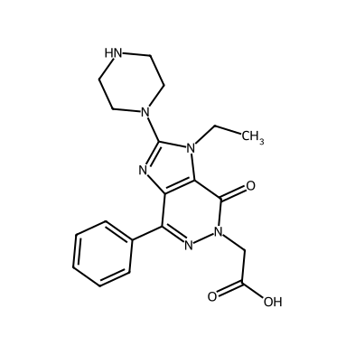 CCn1c(N2CCNCC2)nc2c(-c3ccccc3)nn(CC(=O)O)c(=O)c21